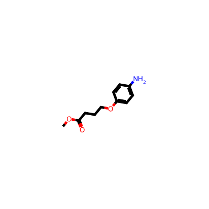 COC(=O)CCCOc1ccc(N)cc1